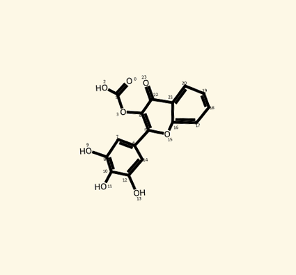 O=C(O)Oc1c(-c2cc(O)c(O)c(O)c2)oc2ccccc2c1=O